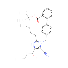 CCCCc1nc(C(O)CCC)c(C#N)n1Cc1ccc(-c2ccccc2C(=O)OC(C)(C)C)cc1